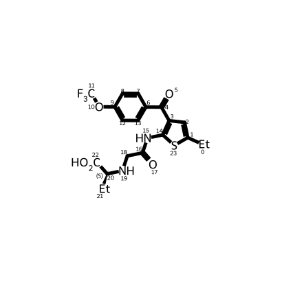 CCc1cc(C(=O)c2ccc(OC(F)(F)F)cc2)c(NC(=O)CN[C@@H](CC)C(=O)O)s1